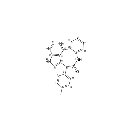 Cc1ccc(C2C(=O)Nc3ccccc3-c3ncnc4[nH]cc2c34)cc1